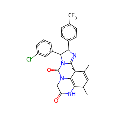 CC1=CC(C)C2=C3N(CC(=O)N2)C(=O)N2C(=NC(c4ccc(C(F)(F)F)cc4)C2c2cccc(Cl)c2)C13C